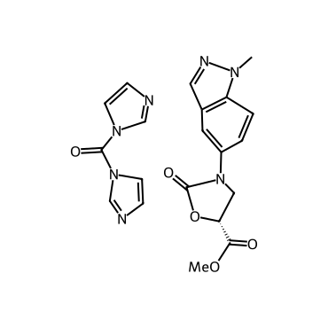 COC(=O)[C@H]1CN(c2ccc3c(cnn3C)c2)C(=O)O1.O=C(n1ccnc1)n1ccnc1